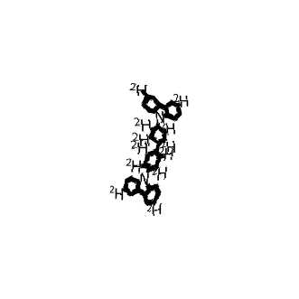 [2H]c1ccc2c(c1)c1cc([2H])ccc1n2-c1c([2H])c([2H])c(-c2c([2H])c([2H])c(-n3c4ccc([2H])cc4c4cc([2H])ccc43)c([2H])c2[2H])c([2H])c1[2H]